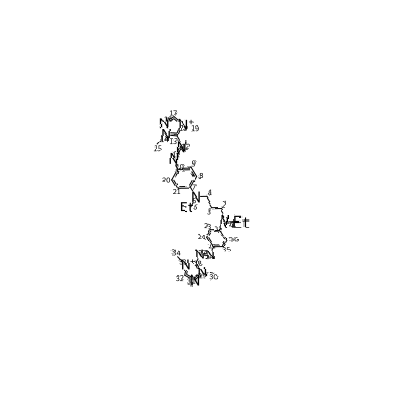 CCN(CCCN(CC)c1ccc(N=Nc2n(C)nc[n+]2C)cc1)c1ccc(N=Nc2n(C)nc[n+]2C)cc1